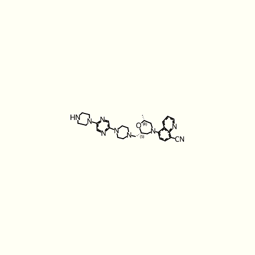 C[C@@H]1CN(c2ccc(C#N)c3ncccc23)C[C@H](CN2CCN(c3cnc(N4CCNCC4)cn3)CC2)O1